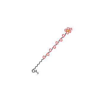 CCCCCCCCCCCOCCOCCOCCOCCOCCOCCOCCOS(=O)(=O)O